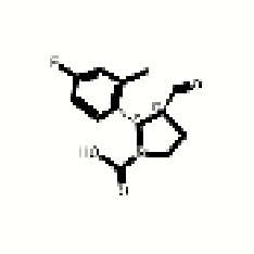 Cc1cc(F)ccc1[C@@H]1[C@@H](C=O)CCN1C(=O)O